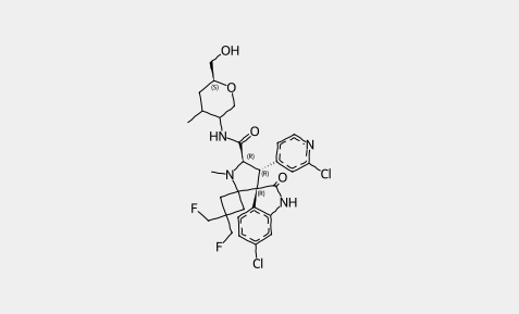 CC1C[C@@H](CO)OCC1NC(=O)[C@H]1[C@H](c2ccnc(Cl)c2)[C@]2(C(=O)Nc3cc(Cl)ccc32)C2(CC(CF)(CF)C2)N1C